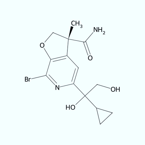 C[C@]1(C(N)=O)COc2c1cc(C(O)(CO)C1CC1)nc2Br